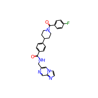 O=C(NCc1cn2ccnc2cn1)c1ccc(C2CCN(C(=O)c3ccc(F)cc3)CC2)cc1